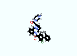 COc1cc(-c2ccccc2C)c(Cl)cc1C(=O)N1Cc2ccc(C(=O)N3CCCN(C)CC3)n2Cc2ccccc21